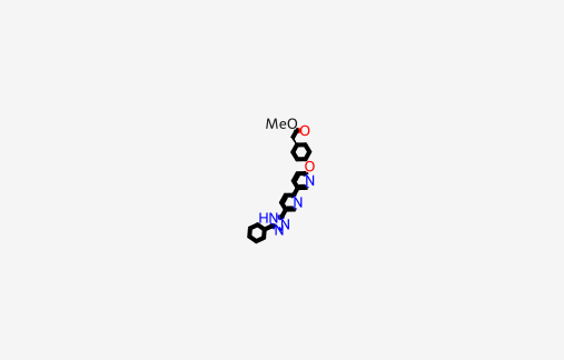 COC(=O)C[C@H]1CC[C@@H](Oc2ccc(-c3ccc(-c4nnc(C5CCCCC5)[nH]4)cn3)cn2)CC1